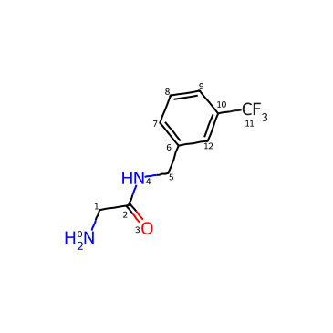 NCC(=O)NCc1cccc(C(F)(F)F)c1